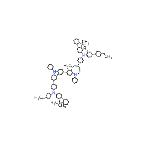 C=Cc1ccc(-c2ccc(N(c3ccc(C4=C/C(=C)c5cc(-c6ccc7c(c6)c6cc(-c8ccc(N(c9ccc(C=C)cc9)c9ccc%10c(c9)C(C)(C)c9ccccc9-%10)cc8)ccc6n7-c6ccccc6)ccc5N(c5ccccc5)C/C=C\4)cc3)c3ccc4c(c3)C(C)(C)c3ccccc3-4)cc2)cc1